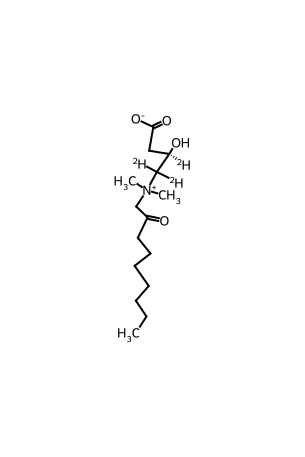 [2H]C([2H])([C@]([2H])(O)CC(=O)[O-])[N+](C)(C)CC(=O)CCCCCCC